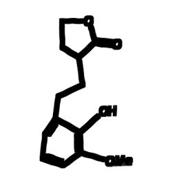 COc1cccc(CCC2CCOC2=O)c1O